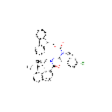 CN(C[C@@H](Cc1ccc(Cl)cc1)N(C)C(=O)OCC1c2ccccc2-c2ccccc21)C(=O)[C@@H](CC(=O)O)[C@H]1CC(C)(C)c2ccccc21